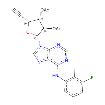 C#C[C@H]1O[C@@H](n2cnc3c(Nc4cccc(F)c4C)ncnc32)[C@H](OC(C)=O)[C@H]1OC(C)=O